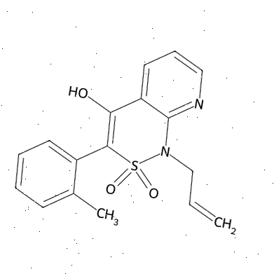 C=CCN1c2ncccc2C(O)=C(c2ccccc2C)S1(=O)=O